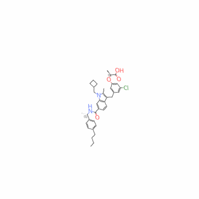 CCCCc1ccc([C@H](C)NC(=O)c2ccc3c(Cc4cc(Cl)cc(O[C@@H](C)C(=O)O)c4)c(C)n(CC4CCC4)c3c2)cc1